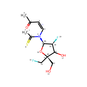 CC(=O)/C=C\N(C(C)=S)[C@@H]1O[C@@](CO)(CF)C(O)[C@@H]1F